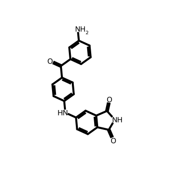 Nc1cccc(C(=O)c2ccc(Nc3ccc4c(c3)C(=O)NC4=O)cc2)c1